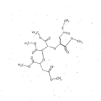 COC(=O)CC(OC(C(=O)OC)C(OC(CC(=O)OC)C(=O)OC)C(=O)OC)C(=O)OC